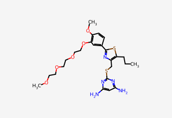 CCCc1sc(-c2ccc(OC)c(OCCOCCOCCOC)c2)nc1CSc1nc(N)cc(N)n1